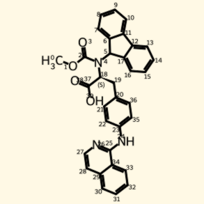 COC(=O)N(C1c2ccccc2-c2ccccc21)[C@@H](Cc1ccc(Nc2nccc3ccccc23)cc1)C(=O)O